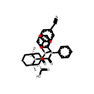 CN(Cc1ccc(C#N)cc1)C(=O)N1[C@H]2CCC[C@@H]1[C@@H](C(=O)O)N(C(=O)N(c1ccccc1)c1ccccc1)C2